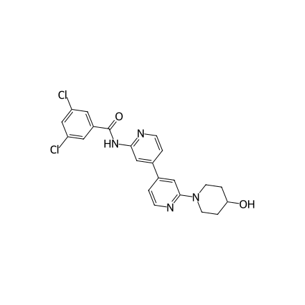 O=C(Nc1cc(-c2ccnc(N3CCC(O)CC3)c2)ccn1)c1cc(Cl)cc(Cl)c1